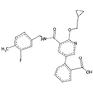 Cc1ccc(CNC(=O)c2cc(-c3ccccc3C(=O)O)cnc2OCC2CC2)cc1F